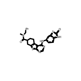 CC(C)CN(C)C(=O)C1CCc2c(sc3ncnc(Nc4ccc5[nH]c(=O)sc5c4)c23)C1